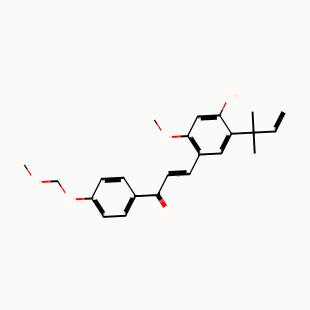 C=CC(C)(C)c1cc(/C=C/C(=O)c2ccc(OCOC)cc2)c(OC)cc1O